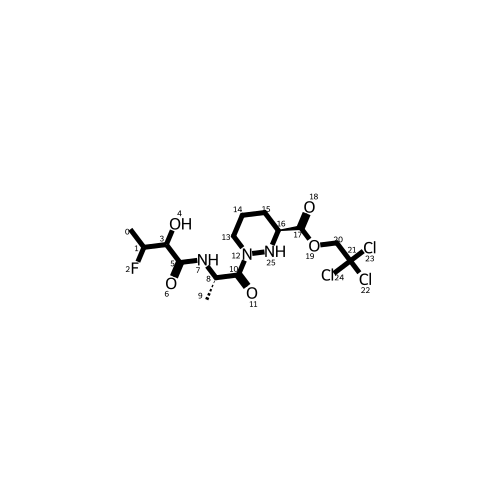 CC(F)C(O)C(=O)N[C@@H](C)C(=O)N1CCC[C@@H](C(=O)OCC(Cl)(Cl)Cl)N1